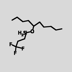 CCCCCC(CCCC)O[SiH2]CCC(F)(F)F